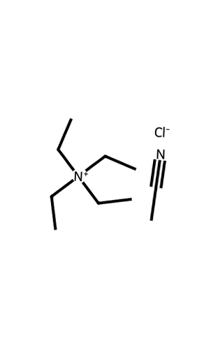 CC#N.CC[N+](CC)(CC)CC.[Cl-]